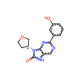 O=c1[nH]c2cnc(-c3cccc(O)c3)nc2n1[C@@H]1CCOC1